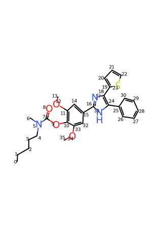 CCCCCN(C)C(=O)Oc1c(OC)cc(-c2nc(-c3cccs3)c(-c3ccccc3)[nH]2)cc1OC